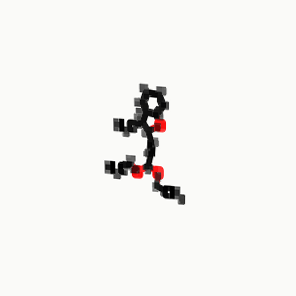 CCOC(C#CC1Oc2ccccc2C1C)OCC